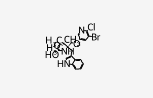 CC(C)(C)[C@](COc1cnc(Cl)c(Br)c1)(Cc1c[nH]c2ccccc12)NC(=O)O